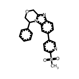 CS(=O)(=O)c1ccc(-c2ccc3nc4n(c3c2)C(c2ccccc2)COC4)cn1